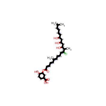 CC(/C=C/C=C/C(=O)OC1CC(C(=O)O)CCC1O)=C\C=C\C=C(/Cl)C(C)C(O)CC(O)CC(O)/C=C/C=C/C(C)C